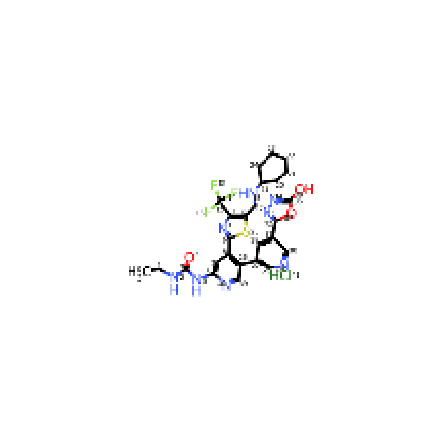 CCNC(=O)Nc1cc(-c2nc(C(F)(F)F)c(CNC3CCCCC3)s2)c(-c2cncc(-c3nnc(O)o3)c2)cn1.Cl